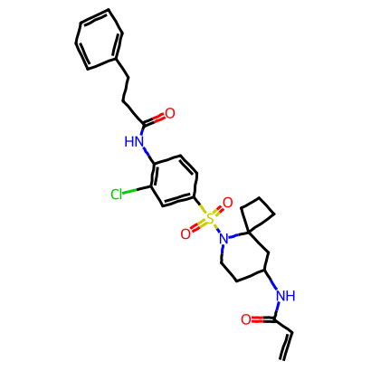 C=CC(=O)NC1CCN(S(=O)(=O)c2ccc(NC(=O)CCc3ccccc3)c(Cl)c2)C2(CCC2)C1